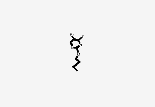 CCCCOc1ncc(Br)c(F)n1